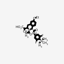 CCOc1ccc2c(c1)CC(C(C)C(=O)O)N(C(N)=O)[C@H]2C(=O)Nc1cc(F)c([Si](C)(C)C)c(F)c1